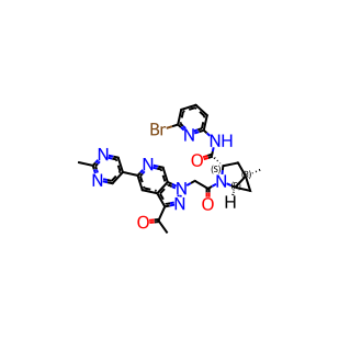 CC(=O)c1nn(CC(=O)N2[C@H](C(=O)Nc3cccc(Br)n3)C[C@@]3(C)C[C@@H]23)c2cnc(-c3cnc(C)nc3)cc12